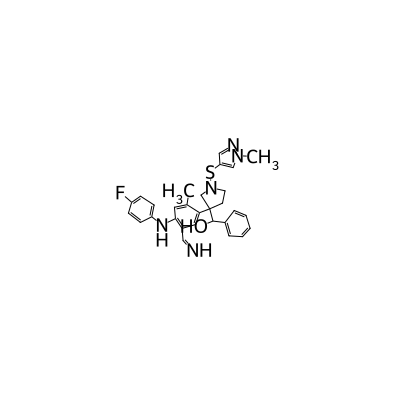 Cc1cc(Nc2ccc(F)cc2)c(C=N)cc1C1(C(O)c2ccccc2)CCN(Sc2cnn(C)c2)C1